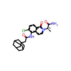 C[C@H](C(N)=O)n1ccc2c(NC(=O)CC34CC5CC(CC(C5)C3)C4)c(Cl)ccc2c1=O